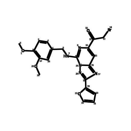 COc1ccc(CNc2nc(C(=O)CBr)cc3nc(-c4ccco4)nn23)cc1OC